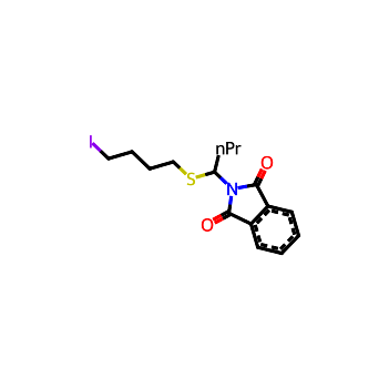 CCCC(SCCCCI)N1C(=O)c2ccccc2C1=O